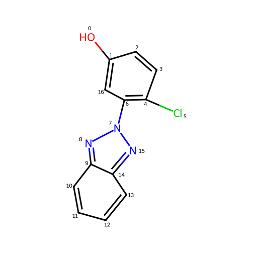 Oc1ccc(Cl)c(-n2nc3ccccc3n2)c1